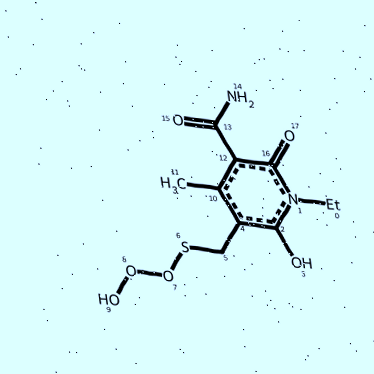 CCn1c(O)c(CSOOO)c(C)c(C(N)=O)c1=O